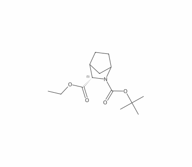 CCOC(=O)[C@@H]1C2CCC(C2)N1C(=O)OC(C)(C)C